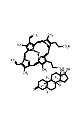 C=CC1=C(C)C2=NC/1=C\c1c(C)c(C=C)c3[n]1[Fe][n]1/c(c(C)c(CCC(=O)O)/c1=C/C1=NC(=C\3)/C(C)=C1CCC(=O)O)=C\2.C[C@]12CCC(=O)C[C@@H]1CC[C@@H]1[C@@H]2CC[C@]2(C)[C@@H](O)CC[C@@H]12